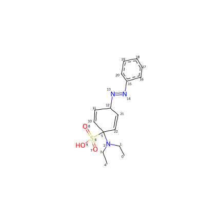 CCN(CC)C1(S(=O)(=O)O)C=CC(/N=N/c2ccccc2)C=C1